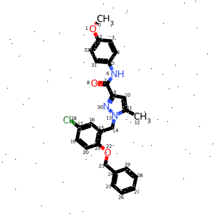 COc1ccc(NC(=O)c2cc(C)n(Cc3cc(Cl)ccc3OCc3ccccc3)n2)cc1